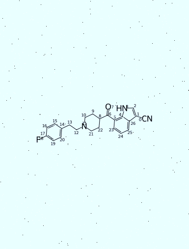 N#Cc1c[nH]c2c(C(=O)C3CCN(CCc4ccc(F)cc4)CC3)cccc12